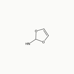 [NH]C1OC=CO1